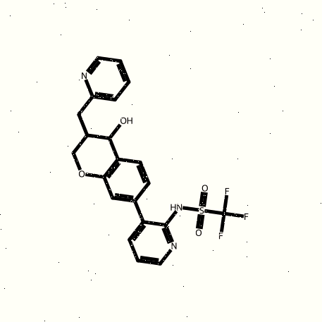 O=S(=O)(Nc1ncccc1-c1ccc2c(c1)OCC(Cc1ccccn1)C2O)C(F)(F)F